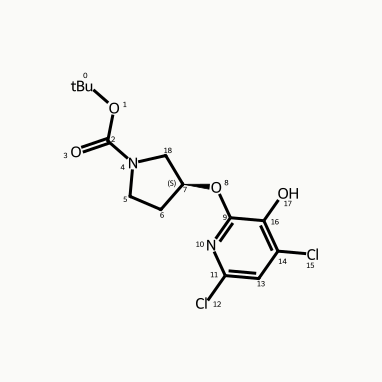 CC(C)(C)OC(=O)N1CC[C@H](Oc2nc(Cl)cc(Cl)c2O)C1